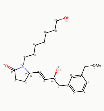 COCc1cccc(C[C@H](O)/C=C/[C@H]2CCC(=O)N2CCCCCCCO)c1